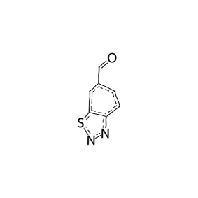 O=Cc1ccc2nnsc2c1